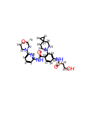 C[C@@H]1CN(c2cccc(NC(=O)c3ccc(N[S+]([O-])CCO)cc3N3CCC4(CC3)CC4)n2)CCO1